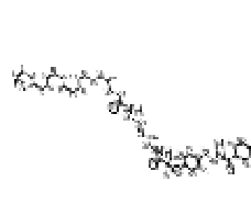 CC/C=C\C/C=C\C/C=C\C/C=C\C/C=C\C/C=C\CCC(=O)NCCSCCNC(=O)C(C)(C)Oc1ccc(CCNC(=O)c2ccc(Cl)cc2)cc1